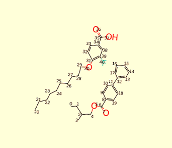 CCC(C)COC(=O)c1ccc(-c2ccccc2)cc1.CCCCCCCCCCOc1ccc(C(=O)O)cc1F